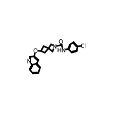 O=C(Nc1ccc(Cl)cc1)N1CC2(CC(Oc3cnc4ccccc4c3)C2)C1